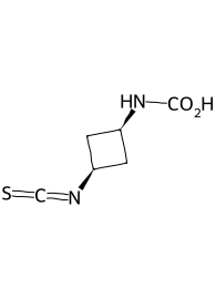 O=C(O)N[C@H]1C[C@@H](N=C=S)C1